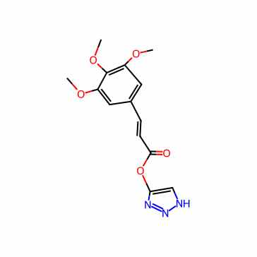 COc1cc(C=CC(=O)Oc2c[nH]nn2)cc(OC)c1OC